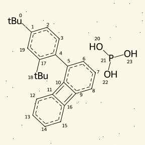 CC(C)(C)c1ccc(-c2cccc3c2=c2ccccc2=3)c(C(C)(C)C)c1.OP(O)O